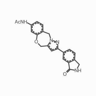 CC(=O)Nc1ccc2c(c1)OCc1cc(-c3ccc4c(c3)C(=O)NC4)nn1C2